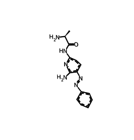 C[C@H](N)C(=O)Nc1ccc(N=Nc2ccccc2)c(N)n1